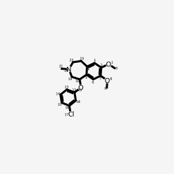 COc1cc2c(cc1OC)C(Oc1cccc(Cl)c1)CN(C)CC2